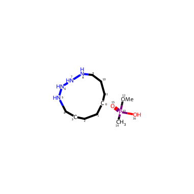 C1CCCCNNNNCCC1.COP(C)(=O)O